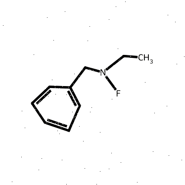 CCN(F)Cc1ccccc1